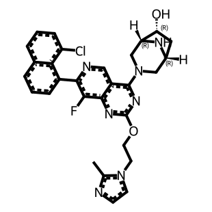 Cc1nccn1CCOc1nc(N2C[C@H]3C[C@@H](O)[C@@H](C2)N3)c2cnc(-c3cccc4cccc(Cl)c34)c(F)c2n1